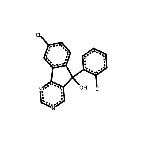 OC1(c2ccccc2Cl)c2ccc(Cl)cc2-c2ncncc21